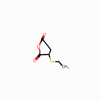 CCSC1CC(=O)OC1=O